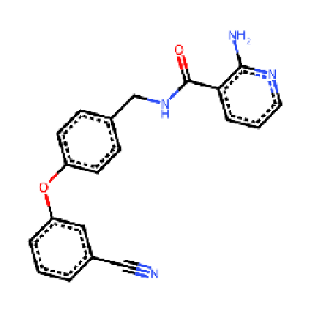 N#Cc1cccc(Oc2ccc(CNC(=O)c3cccnc3N)cc2)c1